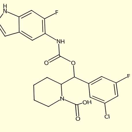 O=C(Nc1cc2cn[nH]c2cc1F)OC(c1cc(F)cc(Cl)c1)C1CCCCN1C(=O)O